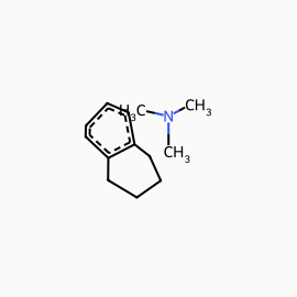 CN(C)C.c1ccc2c(c1)CCCC2